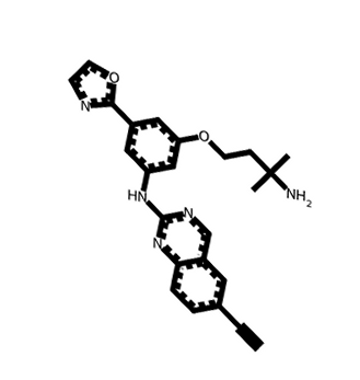 C#Cc1ccc2nc(Nc3cc(OCCC(C)(C)N)cc(-c4ncco4)c3)ncc2c1